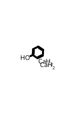 Oc1ccccc1.[CaH2].[CaH2]